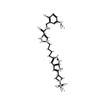 O=C(NCc1cc(OC(F)(F)F)ccc1F)c1cn(CCCCc2cc3cc(C4CN(S(=O)(=O)C(F)(F)F)C4)[nH]c3nn2)nn1